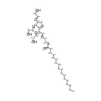 CCCCCCCCCCCCCCCCCC(=O)OCCOCC(OCCO)C1OCC(OCCO)C1OCCO